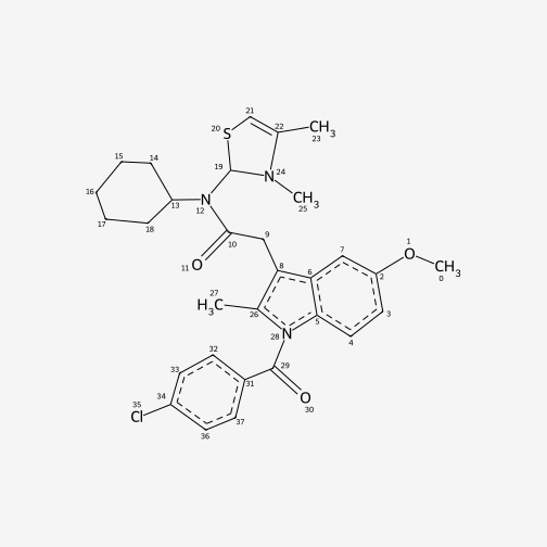 COc1ccc2c(c1)c(CC(=O)N(C1CCCCC1)C1SC=C(C)N1C)c(C)n2C(=O)c1ccc(Cl)cc1